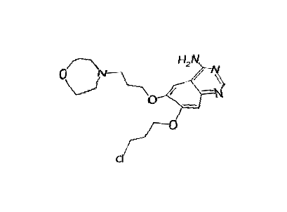 Nc1ncnc2cc(OCCCCl)c(OCCCN3CCOCC3)cc12